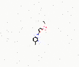 CCc1ccc2[nH]c(-c3ccc(P(=O)(O)OCC(C)C)o3)nc2c1N